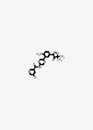 Cc1ccc(C2=NOC(C)(C)C2=O)cc1-c1cnc(NC(=O)c2cncc(Cl)c2)cn1